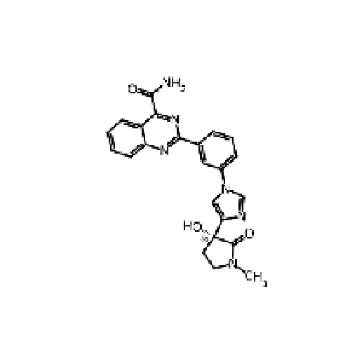 CN1CC[C@@](O)(c2cn(-c3cccc(-c4nc(C(N)=O)c5ccccc5n4)c3)cn2)C1=O